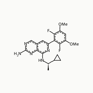 COc1cc(OC)c(F)c(-c2cc3cnc(N)nc3c(N[C@H](C)C3CC3)n2)c1F